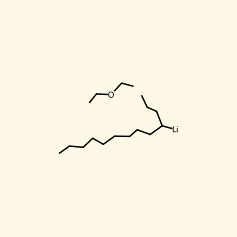 CCOCC.[Li][CH](CCC)CCCCCCCCC